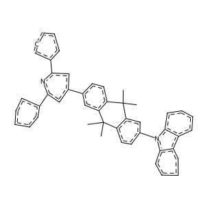 CC1(C)c2ccc(-n3c4ccccc4c4ccccc43)cc2C(C)(C)c2ccc(-c3cc(-c4ccccc4)nc(-c4ccccc4)c3)cc21